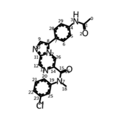 CC(=O)Nc1ccc(-c2cnc3cnc(C(=O)N(C)c4cccc(Cl)c4)cn23)cc1